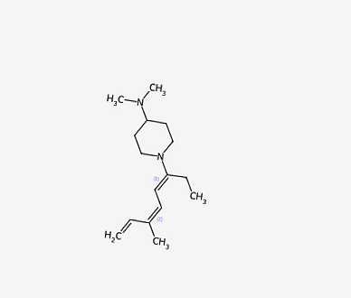 C=C/C(C)=C\C=C(/CC)N1CCC(N(C)C)CC1